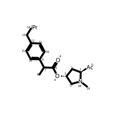 CC(=O)[C@@H]1C[C@@H](OC(=O)C(C)c2ccc(CC(C)C)cc2)CN1C